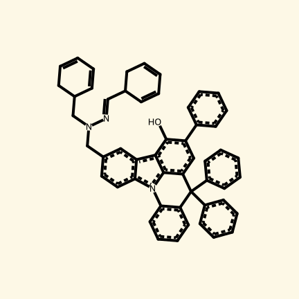 Oc1c(-c2ccccc2)cc2c3c1c1cc(CN(CC4C=CC=CC4)/N=C/C4C=CC=CC4)ccc1n3-c1ccccc1C2(c1ccccc1)c1ccccc1